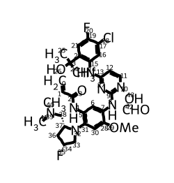 C=CC(=O)Nc1cc(Nc2nccc(Nc3cc(Cl)c(F)cc3C(C)(C)O)n2)c(OC)cc1N1C[C@H](F)C[C@@H]1CN(C)C.O=CO